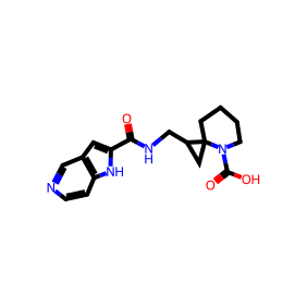 O=C(NCC1CC12CCCCN2C(=O)O)c1cc2cnccc2[nH]1